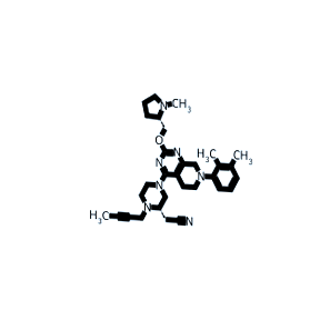 CC#CCN1CCN(c2nc(OC[C@@H]3CCCN3C)nc3c2CCN(c2cccc(C)c2C)C3)C[C@@H]1CC#N